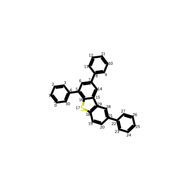 [c]1cccc(-c2cc(-c3ccccc3)cc3c2sc2ccc(-c4ccccc4)cc23)c1